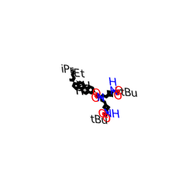 CCC(CCC(C)[C@H]1CC[C@H]2[C@@H]3CC=C4C[C@@H](OC(=O)N(CCC5CC(NC(=O)OC(C)(C)C)C5)CCC5CC(NC(=O)OC(C)(C)C)C5)CC[C@]4(C)[C@H]3CC[C@]12C)C(C)C